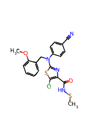 COc1ccccc1CN(c1ccc(C#N)cc1)c1nc(C(=O)NSC)c(Cl)s1